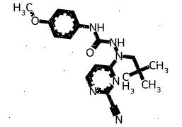 COc1ccc(NC(=O)NN(CC(C)(C)C)c2ccnc(C#N)n2)cc1